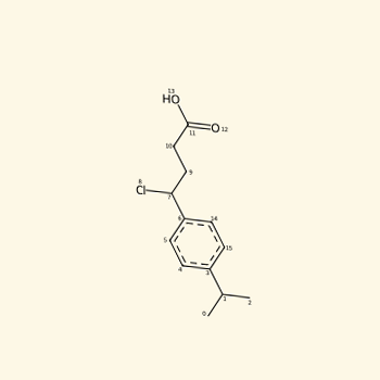 CC(C)c1ccc(C(Cl)CCC(=O)O)cc1